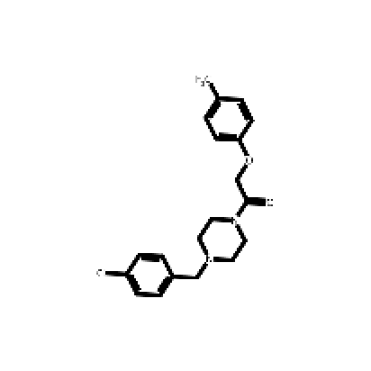 O=C(COc1ccc(C(F)(F)F)cc1)N1CCN(Cc2ccc(Cl)cc2)CC1